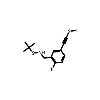 CC(C)(C)SNCc1cc(C#CSI)ccc1F